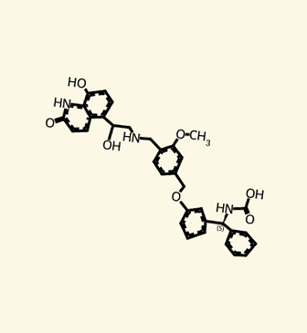 COc1cc(COc2cccc([C@@H](NC(=O)O)c3ccccc3)c2)ccc1CNCC(O)c1ccc(O)c2[nH]c(=O)ccc12